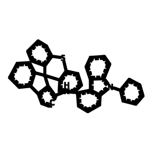 c1ccc(-n2c3ccccc3c3c(Nc4cccc5c4C4(c6ccccc6Sc6ccccc64)c4ccccc4-5)cccc32)cc1